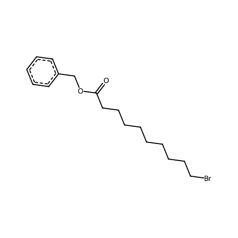 O=C(CCCCCCCCCBr)OCc1ccccc1